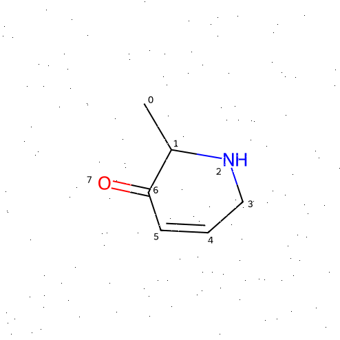 CC1NCC=CC1=O